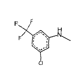 CNc1cc(Cl)cc(C(F)(F)F)c1